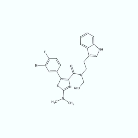 CC(=O)OCN(CCc1c[nH]c2ccccc12)C(=O)c1nc(N(C)C)sc1-c1ccc(F)c(Br)c1